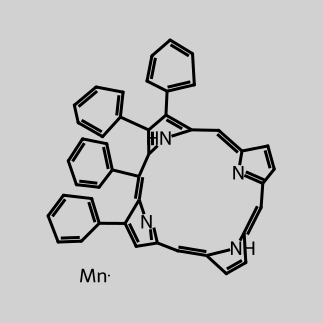 C1=Cc2cc3[nH]c(c(-c4ccccc4)c4nc(cc5ccc(cc1n2)[nH]5)C=C4c1ccccc1)c(-c1ccccc1)c3-c1ccccc1.[Mn]